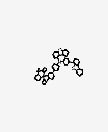 CC1(C)c2ccccc2C2(C3=C(C=CCC3)c3ccc(-c4ccc(N(c5ccc(-c6cccc7c6sc6ccccc67)cc5)c5cccc6oc7ccccc7c56)cc4)cc32)c2ccccc21